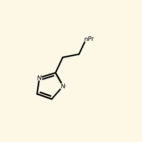 CCCCCC1=NC=C[N]1